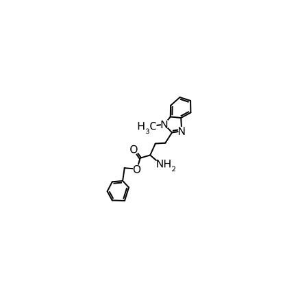 Cn1c(CCC(N)C(=O)OCc2ccccc2)nc2ccccc21